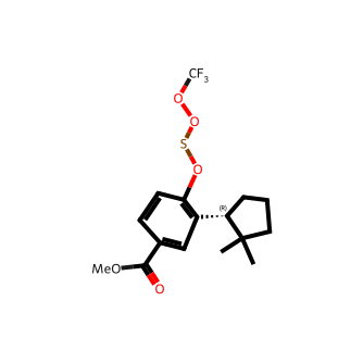 COC(=O)c1ccc(OSOOC(F)(F)F)c([C@@H]2CCCC2(C)C)c1